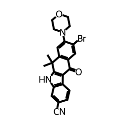 CC1(C)c2cc(N3CCOCC3)c(Br)cc2C(=O)c2c1[nH]c1cc(C#N)ccc21